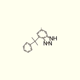 CC(C)(c1ccccc1)c1c[c]cc2[nH]nnc12